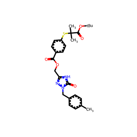 Cc1ccc(Cn2nc(COC(=O)c3ccc(SC(C)(C)C(=O)OC(C)(C)C)cc3)[nH]c2=O)cc1